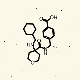 C[C@H](NC(=O)C1(NCC2CCCCC2)CCOCC1)c1ccc(C(=O)O)cc1